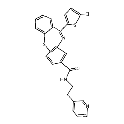 O=C(NCCc1cccnc1)c1ccc2c(c1)N=C(c1ccc(Cl)s1)c1ccccc1S2